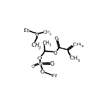 C=C(C)C(=O)OC(C)OS(=O)(=O)OCC.CCN(C)C